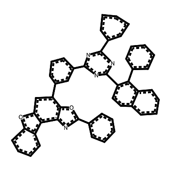 c1ccc(-c2nc(-c3cccc(-c4cc5oc6ccccc6c5c5nc(-c6ccccc6)oc45)c3)nc(-c3ccc4ccccc4c3-c3ccccc3)n2)cc1